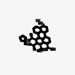 B.F.O=C(O)c1c(C(=O)O)c2c(C(=O)O)ccc3c4cccc5cccc(c(c1C(=O)O)c23)c54.c1cc[nH]c1